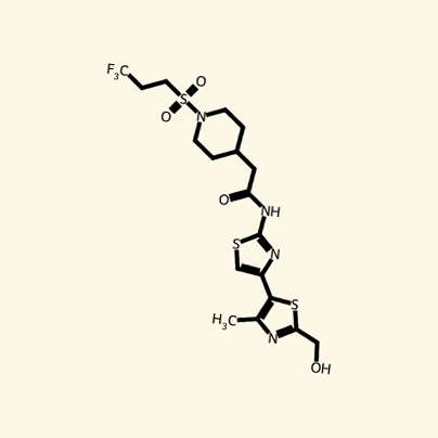 Cc1nc(CO)sc1-c1csc(NC(=O)CC2CCN(S(=O)(=O)CCC(F)(F)F)CC2)n1